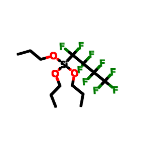 CCCO[Si](OCCC)(OCCC)C(F)(F)C(F)(F)C(F)(F)C(F)(F)F